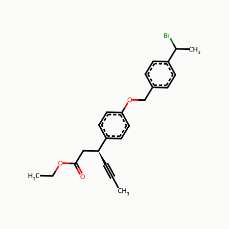 CC#C[C@@H](CC(=O)OCC)c1ccc(OCc2ccc(C(C)Br)cc2)cc1